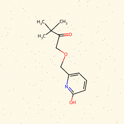 CC(C)(C)C(=O)COCc1cccc(O)n1